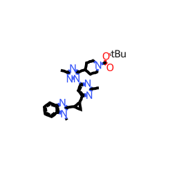 Cc1nc(C2CC2c2nc3ccccc3n2C)cc(-n2nc(C)nc2C2CCN(C(=O)OC(C)(C)C)CC2)n1